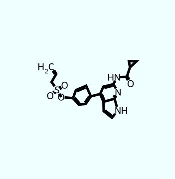 C=CCS(=O)(=O)Oc1ccc(-c2cc(NC(=O)C3CC3)nc3[nH]ccc23)cc1